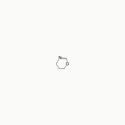 [CH]1CN=COC1